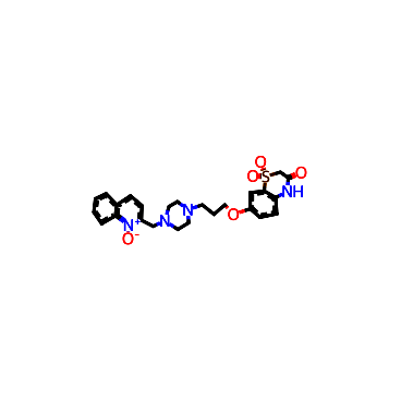 O=C1CS(=O)(=O)c2cc(OCCCN3CCN(Cc4ccc5ccccc5[n+]4[O-])CC3)ccc2N1